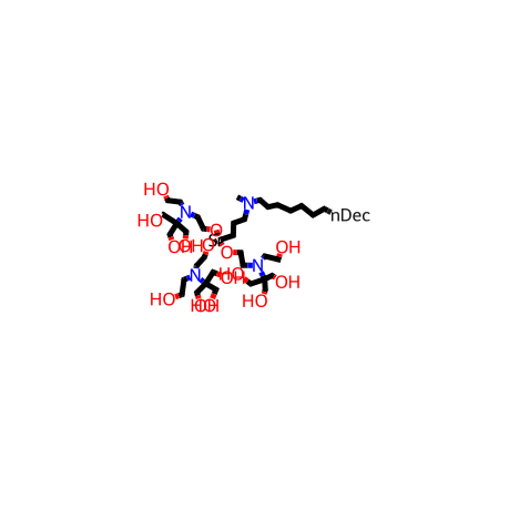 CCCCCCCCCCCCCCCCCN(C)CCC[Si](OCCN(CCO)C(CO)(CO)CO)(OCCN(CCO)C(CO)(CO)CO)OCCN(CCO)C(CO)(CO)CO